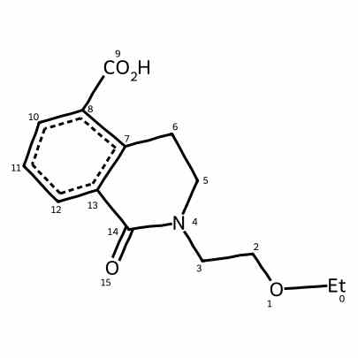 CCOCCN1CCc2c(C(=O)O)cccc2C1=O